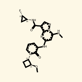 CNc1cc(Nc2cccn([C@H]3CC[C@@H]3OC)c2=O)nc2c(C(=O)N[C@@H]3C[C@@H]3F)cnn12